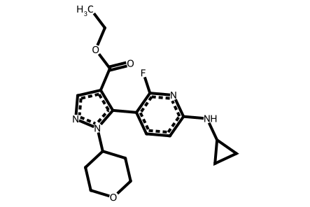 CCOC(=O)c1cnn(C2CCOCC2)c1-c1ccc(NC2CC2)nc1F